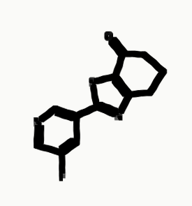 O=C1CCCc2nc(-c3cncc(F)c3)sc21